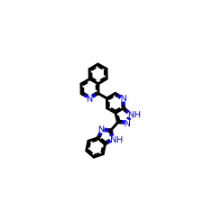 c1ccc2c(-c3cnc4[nH]nc(-c5nc6ccccc6[nH]5)c4c3)nccc2c1